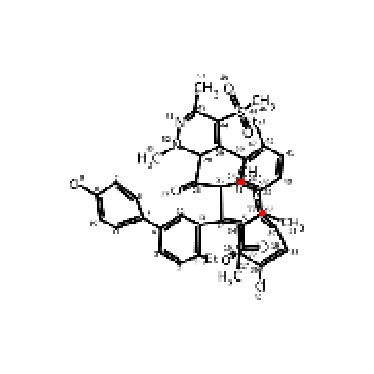 CCc1ccc(-c2ccc(Cl)cc2)cc1C1=C(S(C)(=O)=O)C(C)=NN(C)C1C(=O)C1C(c2cc(-c3ccc(Cl)cc3)ccc2CC)=C(S(C)(=O)=O)C(C)=NN1C